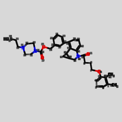 Cc1cccc(OCCCC(=O)N2CC3CC3c3c(-c4cccc(COC(=O)N5CCN(CCS(=O)(=O)O)CC5)c4)cccc32)c1C